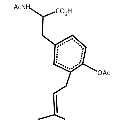 CC(=O)NC(Cc1ccc(OC(C)=O)c(CC=C(C)C)c1)C(=O)O